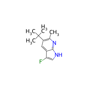 Cc1nc2[nH]cc(F)c2cc1C(C)(C)C